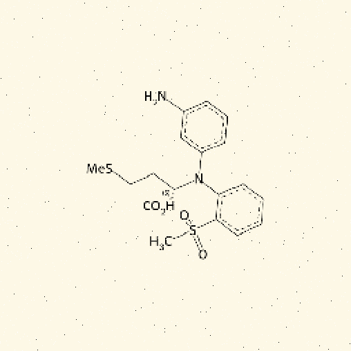 CSCC[C@@H](C(=O)O)N(c1cccc(N)c1)c1ccccc1S(C)(=O)=O